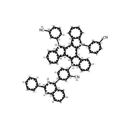 N#Cc1cccc(-n2c3ccccc3c3c2c2c4ccccc4n(-c4ccc(-c5nc(-c6ccccc6)nc6ccccc56)cc4C#N)c2c2c4ccccc4n(-c4cccc(C#N)c4)c32)c1